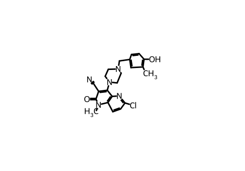 Cc1cc(CN2CCN(c3c(C#N)c(=O)n(C)c4ccc(Cl)nc34)CC2)ccc1O